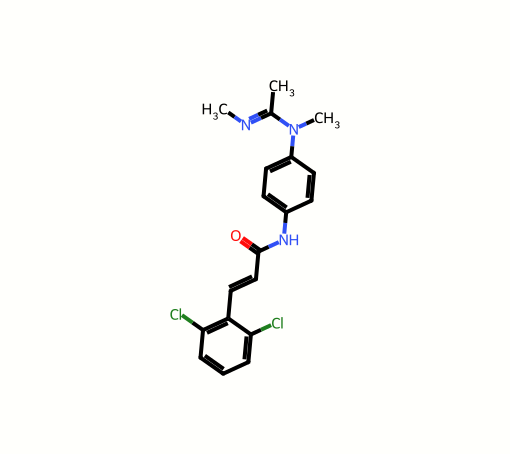 CN=C(C)N(C)c1ccc(NC(=O)C=Cc2c(Cl)cccc2Cl)cc1